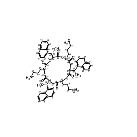 C[C@@H](c1cccc2ccccc12)N1CC(=O)N(CCCN)CC(=O)N([C@@H](C)c2cccc3ccccc23)CC(=O)N(CCCN)CC(=O)N([C@@H](C)c2cccc3ccccc23)CC(=O)N(CCCN)CC1=O